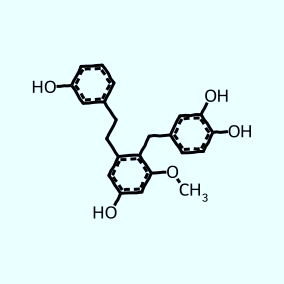 COc1cc(O)cc(CCc2cccc(O)c2)c1Cc1ccc(O)c(O)c1